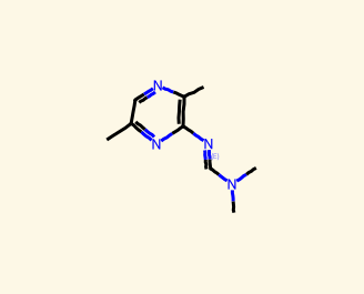 Cc1cnc(C)c(/N=C/N(C)C)n1